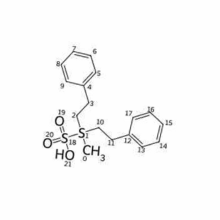 CS(CCc1ccccc1)(CCc1ccccc1)S(=O)(=O)O